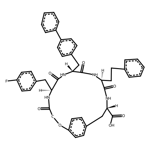 O=C1COc2ccc(cc2)C[C@@H](C(=O)O)NC(=O)[C@H](CCc2ccccc2)NC(=O)[C@@H](Cc2ccc(-c3ccccc3)cc2)NC(=O)[C@H](Cc2ccc(F)cc2)N1